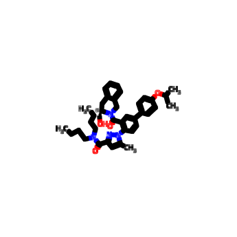 CCCCN(CCCC)C(=O)c1cc(C)n(-c2ccc(-c3ccc(OC(C)C)cc3)cc2C(=O)N2Cc3ccccc3C[C@H]2CO)n1